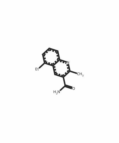 CCc1[c]ccc2nc(C)c(C(N)=O)cc12